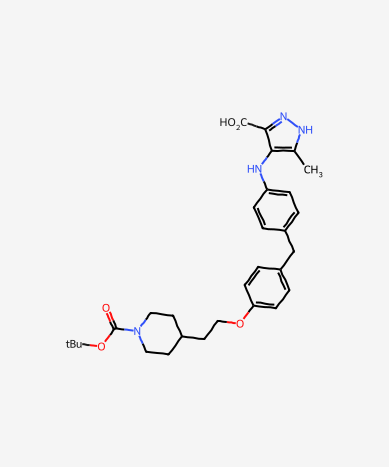 Cc1[nH]nc(C(=O)O)c1Nc1ccc(Cc2ccc(OCCC3CCN(C(=O)OC(C)(C)C)CC3)cc2)cc1